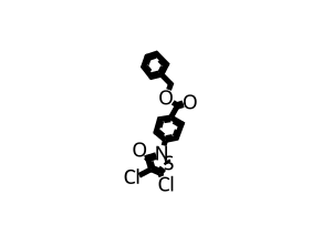 O=C(OCc1ccccc1)c1ccc(-n2sc(Cl)c(Cl)c2=O)cc1